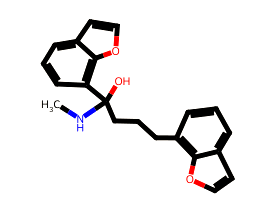 CNC(O)(CCCc1cccc2ccoc12)c1cccc2ccoc12